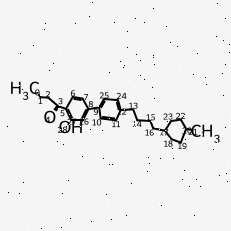 CCCC(=O)c1ccc(-c2ccc(CCCCC3CCC(C)CC3)cc2)cc1O